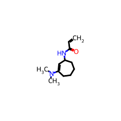 C=CC(=O)NC1C=C(N(C)C)CCCC1